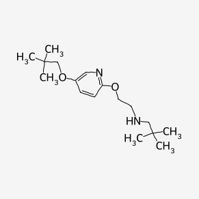 CC(C)(C)CNCCOc1ccc(OCC(C)(C)C)cn1